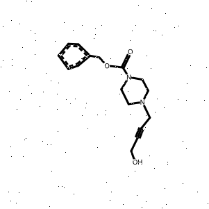 O=C(OCc1ccccc1)N1CCN(CC#CCO)CC1